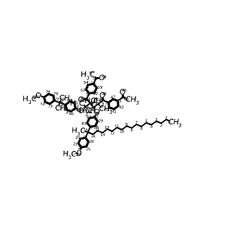 CCCCCCCCCCCCCCCCCC(C)(c1ccc(OC)cc1)c1ccc(OC(C)(C(C)(C)C(=O)c2cccc(C(C)=O)c2)C(C)(C(=O)c2ccc(C(C)=O)cc2)C(C)(C)Oc2ccc(C(C)(C)c3ccc(OC)cc3)cc2)cc1